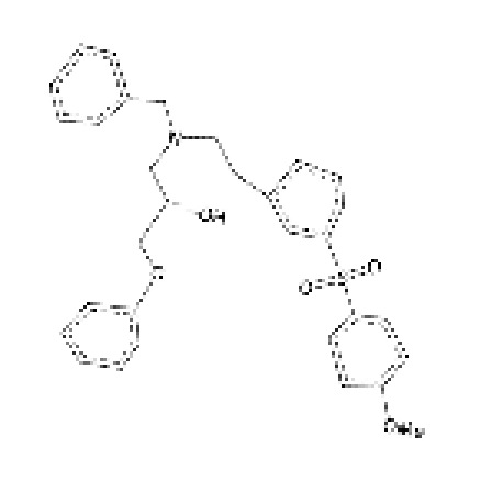 COc1ccc(S(=O)(=O)c2cccc(CCN(Cc3ccccc3)C[C@H](O)COc3ccccc3)c2)cc1